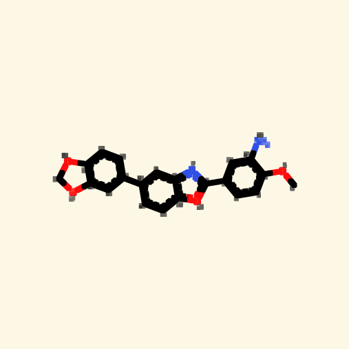 COc1ccc(-c2nc3cc(-c4ccc5c(c4)OCO5)ccc3o2)cc1N